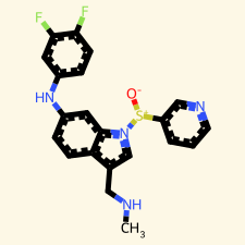 CNCc1cn([S+]([O-])c2cccnc2)c2cc(Nc3ccc(F)c(F)c3)ccc12